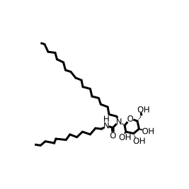 CCCCCCCCCCCCCCCCCCN(C(=O)NCCCCCCCCCCCC)[C@@H]1O[C@H](CO)[C@@H](O)[C@H](O)[C@H]1O